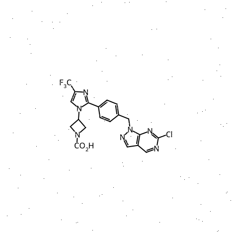 O=C(O)N1CC(n2cc(C(F)(F)F)nc2-c2ccc(Cn3ncc4cnc(Cl)nc43)cc2)C1